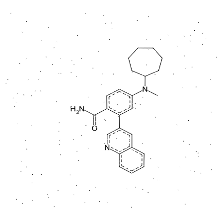 CN(c1ccc(C(N)=O)c(-c2cnc3ccccc3c2)c1)C1CCCCCC1